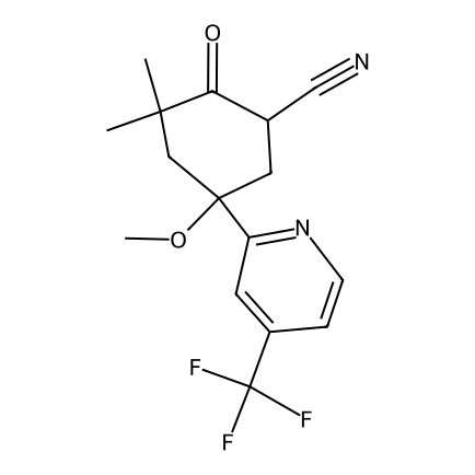 COC1(c2cc(C(F)(F)F)ccn2)CC(C#N)C(=O)C(C)(C)C1